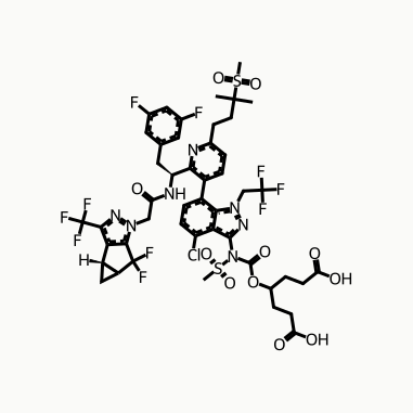 CC(C)(CCc1ccc(-c2ccc(Cl)c3c(N(C(=O)OC(CCC(=O)O)CCC(=O)O)S(C)(=O)=O)nn(CC(F)(F)F)c23)c([C@H](Cc2cc(F)cc(F)c2)NC(=O)Cn2nc(C(F)(F)F)c3c2C(F)(F)C2C[C@H]32)n1)S(C)(=O)=O